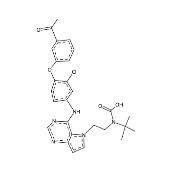 CC(=O)c1cccc(Oc2ccc(Nc3ncnc4ccn(CCN(C(=O)O)C(C)(C)C)c34)cc2Cl)c1